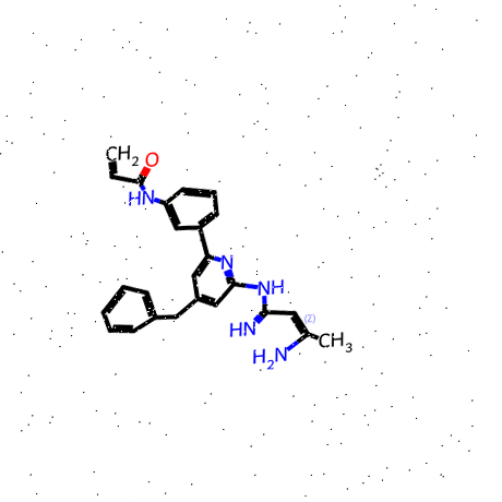 C=CC(=O)Nc1cccc(-c2cc(Cc3ccccc3)cc(NC(=N)/C=C(/C)N)n2)c1